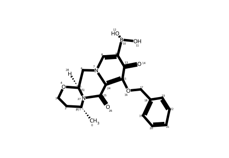 C[C@@H]1CCO[C@H]2Cn3cc(B(O)O)c(=O)c(OCc4ccccc4)c3C(=O)N12